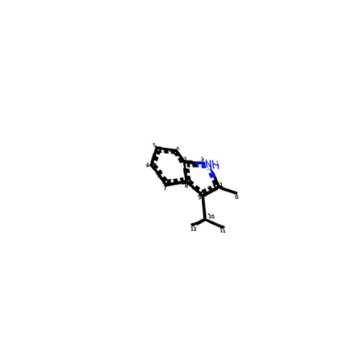 Cc1[nH]c2ccccc2c1C(C)C